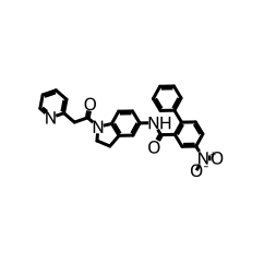 O=C(Nc1ccc2c(c1)CCN2C(=O)Cc1ccccn1)c1cc([N+](=O)[O-])ccc1-c1ccccc1